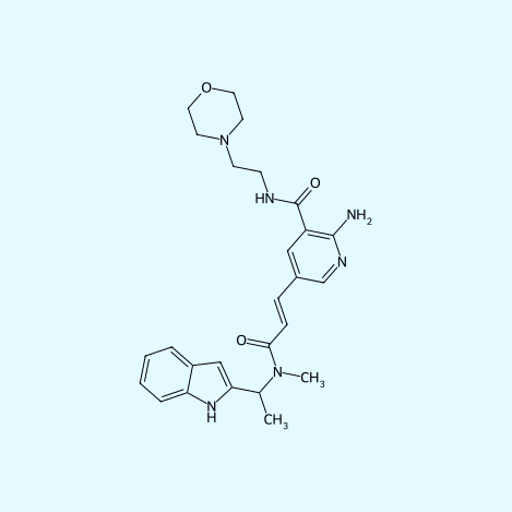 CC(c1cc2ccccc2[nH]1)N(C)C(=O)/C=C/c1cnc(N)c(C(=O)NCCN2CCOCC2)c1